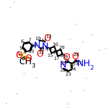 CS(=O)(=O)c1cccc(N2CC(=O)N(C3CC4(CC(Oc5ncccc5C(N)=O)C4)C3)C2=O)c1